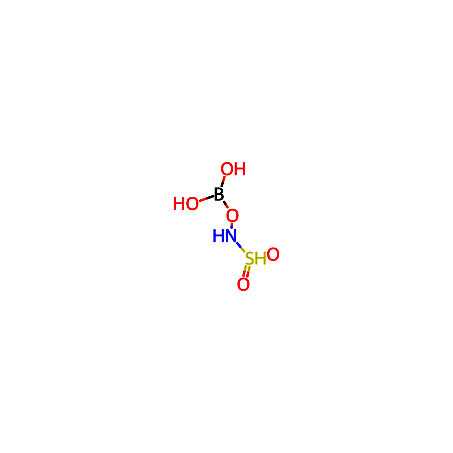 O=[SH](=O)NOB(O)O